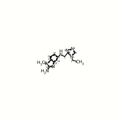 CCn1cnnc1CNc1ccc2c(c1)nc(N)n2C